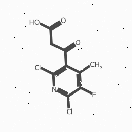 Cc1c(F)c(Cl)nc(Cl)c1C(=O)CC(=O)O